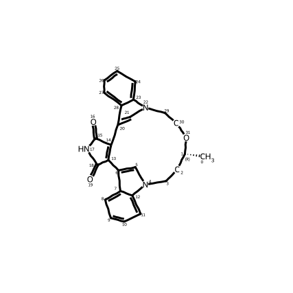 C[C@@H]1CCn2cc(c3ccccc32)C2=C(C(=O)NC2=O)c2cn(c3ccccc23)CCO1